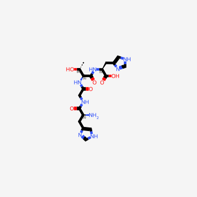 C[C@@H](O)[C@H](NC(=O)CNC(=O)[C@@H](N)Cc1c[nH]cn1)C(=O)N[C@@H](Cc1c[nH]cn1)C(=O)O